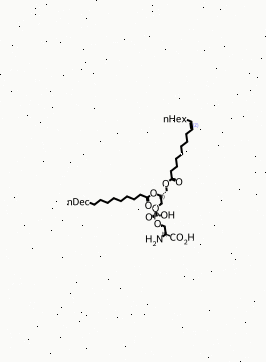 CCCCCC/C=C\CCCCCCCC(=O)OC[C@H](COP(=O)(O)OC[C@H](N)C(=O)O)OC(=O)CCCCCCCCCCCCCCCCCC